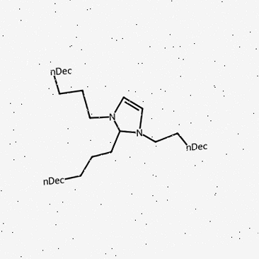 CCCCCCCCCCCCCC1N(CCCCCCCCCCCC)C=CN1CCCCCCCCCCCCC